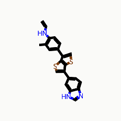 C=CNc1ccc(-c2csc3c(-c4ccc5nc[nH]c5c4)csc23)cc1C